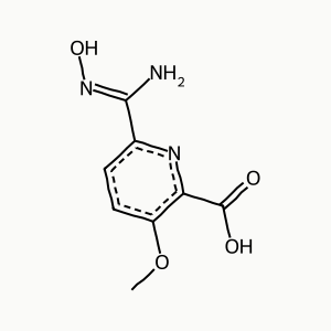 COc1ccc(/C(N)=N/O)nc1C(=O)O